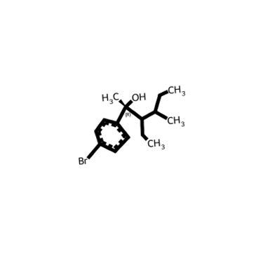 CCC(C)C(CC)[C@@](C)(O)c1ccc(Br)cc1